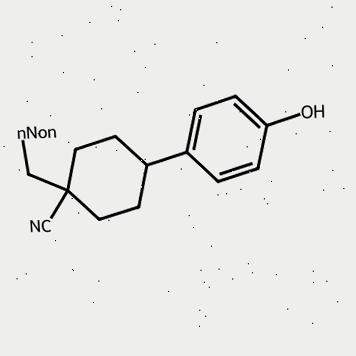 CCCCCCCCCCC1(C#N)CCC(c2ccc(O)cc2)CC1